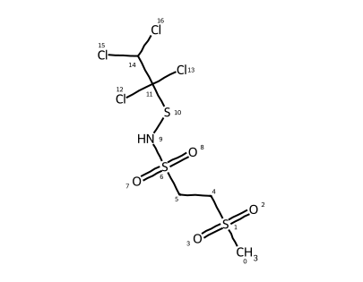 CS(=O)(=O)CCS(=O)(=O)NSC(Cl)(Cl)C(Cl)Cl